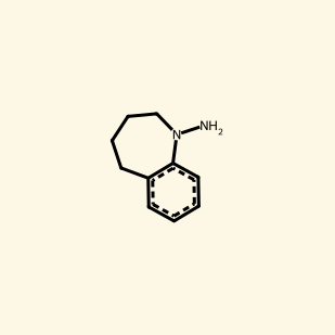 NN1CCCCc2ccccc21